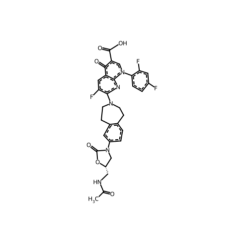 CC(=O)NC[C@H]1CN(c2ccc3c(c2)CCN(c2nc4c(cc2F)c(=O)c(C(=O)O)cn4-c2ccc(F)cc2F)CC3)C(=O)O1